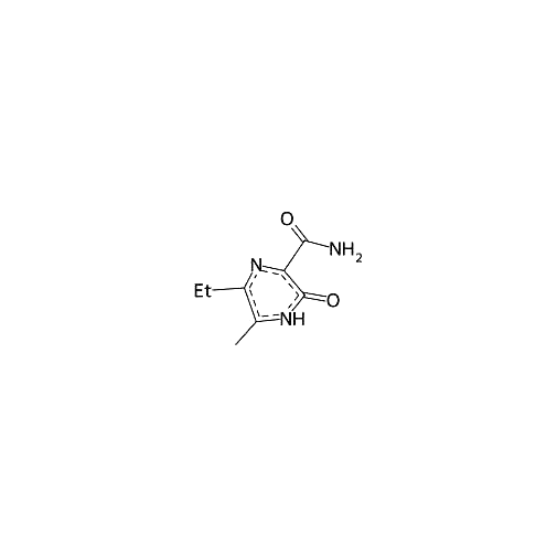 CCc1nc(C(N)=O)c(=O)[nH]c1C